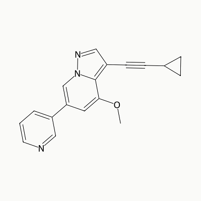 COc1cc(-c2cccnc2)cn2ncc(C#CC3CC3)c12